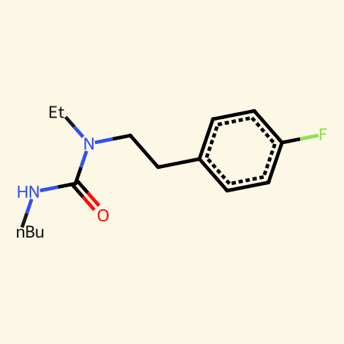 [CH2]CN(CCc1ccc(F)cc1)C(=O)NCCCC